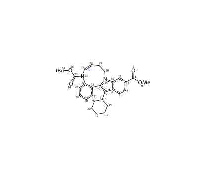 COC(=O)c1ccc2c(C3CCCCC3)c3n(c2c1)CC/C=C\N(C(=O)OC(C)(C)C)c1ccccc1-3